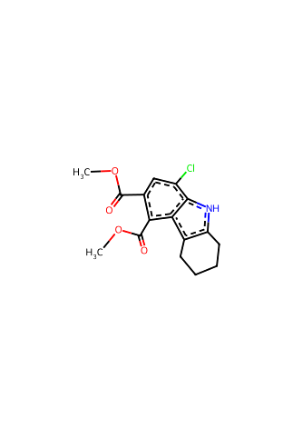 COC(=O)c1cc(Cl)c2[nH]c3c(c2c1C(=O)OC)CCCC3